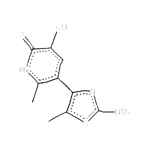 CNc1nc(-c2cc(C#N)c(=O)[nH]c2C)c(C)s1